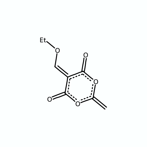 C=c1oc(=O)c(=COCC)c(=O)o1